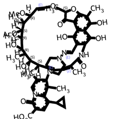 CO[C@H]1/C=C/O[C@@]2(C)Oc3c(C)c(O)c4c(O)c(c(/C=N/N5CCN(c6c(C)cn7c(=O)c(C(=O)O)cc(C8CC8)c7c6C)CC5)c(O)c4c3C2=O)NC(=O)/C(C)=C\C=C\[C@H](C)[C@H](O)[C@@H](C)[C@@H](O)[C@@H](C)[C@H](OC(C)=O)[C@@H]1C